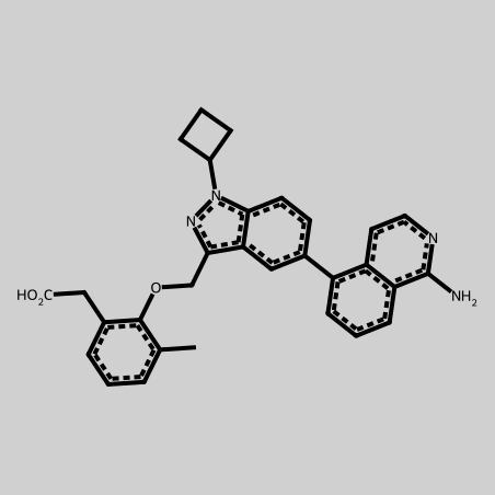 Cc1cccc(CC(=O)O)c1OCc1nn(C2CCC2)c2ccc(-c3cccc4c(N)nccc34)cc12